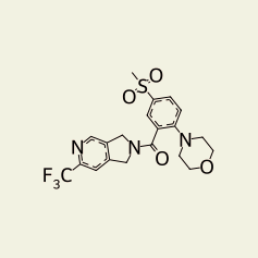 CS(=O)(=O)c1ccc(N2CCOCC2)c(C(=O)N2Cc3cnc(C(F)(F)F)cc3C2)c1